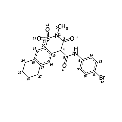 CN1C(=O)C(C(=O)Nc2ccc(Br)cc2)c2cc3c(cc2S1(=O)=O)CCCC3